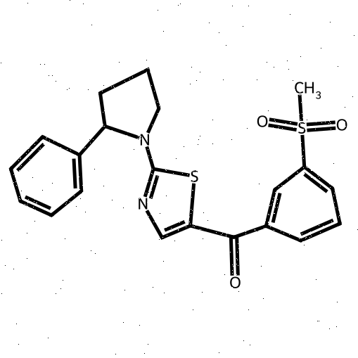 CS(=O)(=O)c1cccc(C(=O)c2cnc(N3CCCC3c3ccccc3)s2)c1